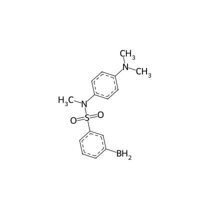 Bc1cccc(S(=O)(=O)N(C)c2ccc(N(C)C)cc2)c1